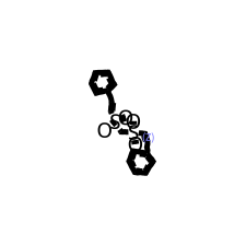 O=S(=O)(C=Cc1ccccc1)CS(=O)(=O)/C=C\c1ccccc1